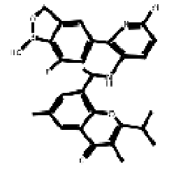 Cc1cc(C(C)Nc2ccc(Cl)nc2-c2cc(F)c3c(c2)COB3O)c2oc(C(C)C)c(C)c(=O)c2c1